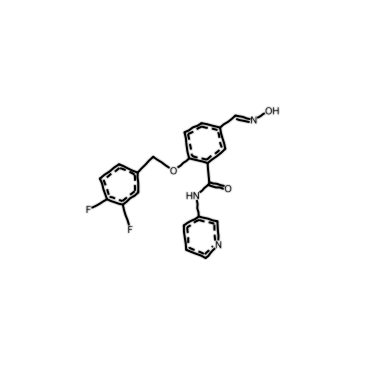 O=C(Nc1cccnc1)c1cc(C=NO)ccc1OCc1ccc(F)c(F)c1